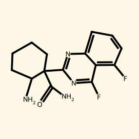 NC(=O)C1(c2nc(F)c3c(F)cccc3n2)CCCCC1N